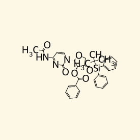 CC(=O)Nc1ccn([C@@H]2OC[C@H](O[Si](c3ccccc3)(c3ccccc3)C(C)(C)C)[C@H]2OC(=O)c2ccccc2)c(=O)n1